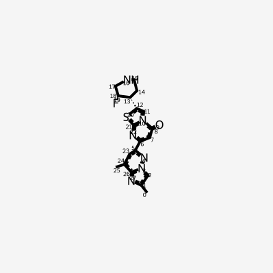 Cc1cn2nc(-c3cc(=O)n4cc([C@H]5CCNC[C@H]5F)sc4n3)cc(C)c2n1